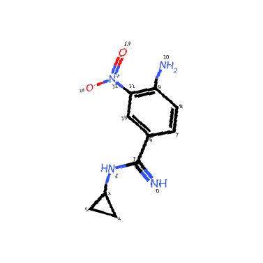 N=C(NC1CC1)c1ccc(N)c([N+](=O)[O-])c1